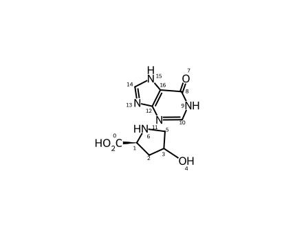 O=C(O)[C@@H]1CC(O)CN1.O=c1[nH]cnc2nc[nH]c12